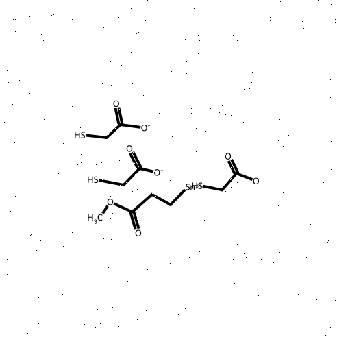 COC(=O)C[CH2][Sn+3].O=C([O-])CS.O=C([O-])CS.O=C([O-])CS